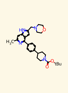 Cc1cc2[nH]c(CN3CCOCC3)cc2c(-c2ccc(C3CCN(C(=O)OC(C)(C)C)CC3)cc2)n1